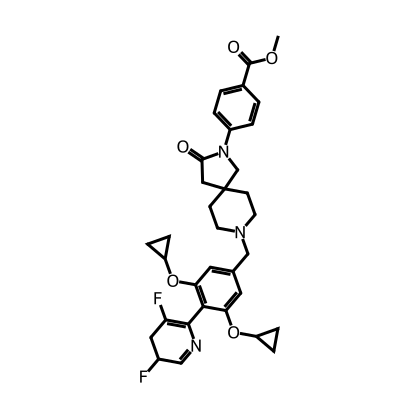 COC(=O)c1ccc(N2CC3(CCN(Cc4cc(OC5CC5)c(C5=C(F)CC(F)C=N5)c(OC5CC5)c4)CC3)CC2=O)cc1